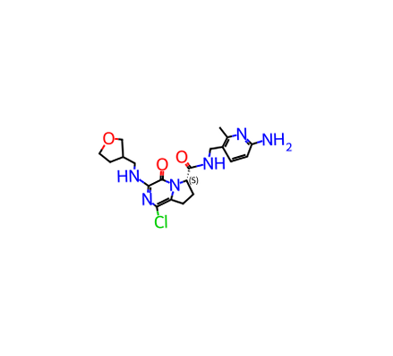 Cc1nc(N)ccc1CNC(=O)[C@@H]1CCc2c(Cl)nc(NCC3CCOC3)c(=O)n21